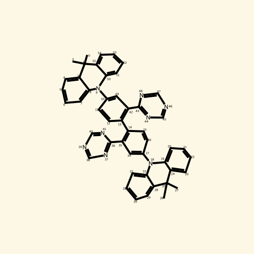 CC1(C)c2ccccc2N(c2ccc(-c3ccc(N4c5ccccc5C(C)(C)c5ccccc54)cc3-c3ncncn3)c(-c3ncncn3)c2)c2ccccc21